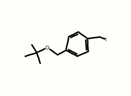 CC(C)(C)OCc1ccc(CI)cc1